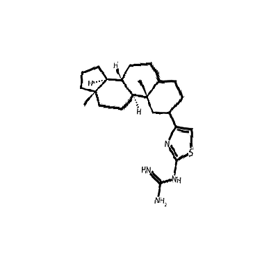 C[C@@]12CCC[C@H]1[C@@H]1CCC3CCC(c4csc(NC(=N)N)n4)C[C@]3(C)[C@H]1CC2